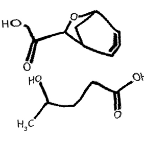 CC(O)CCC(=O)O.O=C(O)C1OC2C=CC1C2